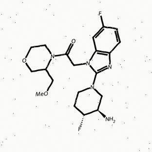 COCC1COCCN1C(=O)Cn1c(N2CC[C@@H](F)[C@H](N)C2)nc2ccc(F)cc21